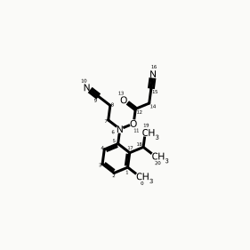 Cc1cccc(N(CCC#N)OC(=O)CC#N)c1C(C)C